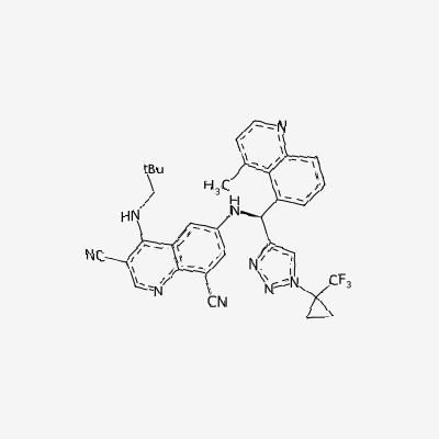 Cc1ccnc2cccc([C@H](Nc3cc(C#N)c4ncc(C#N)c(NCC(C)(C)C)c4c3)c3cn(C4(C(F)(F)F)CC4)nn3)c12